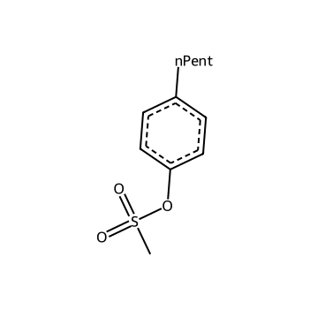 CCCCCc1ccc(OS(C)(=O)=O)cc1